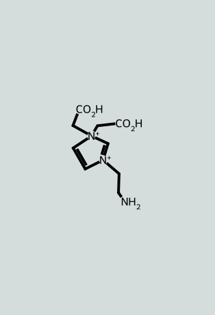 NCC[N+]1=C[N+](CC(=O)O)(CC(=O)O)C=C1